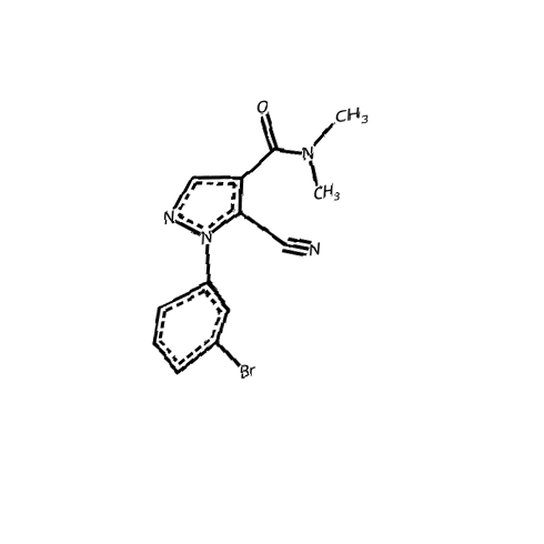 CN(C)C(=O)c1cnn(-c2cccc(Br)c2)c1C#N